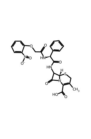 CC1=C(C(=O)O)N2C(=O)C(NC(=O)[C@@H](NC(=O)COc3ccccc3[N+](=O)[O-])c3ccccc3)[C@@H]2SC1